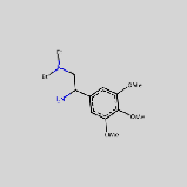 CCN(CC)CC(N)c1cc(OC)c(OC)c(OC)c1